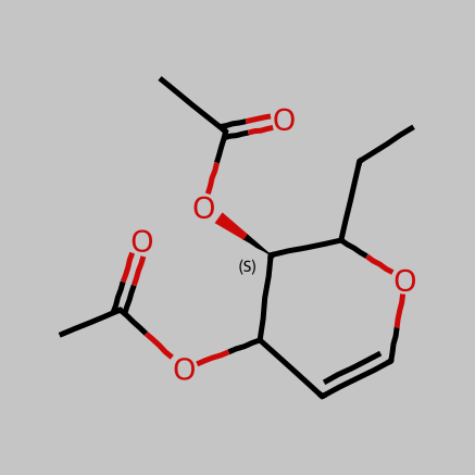 CCC1OC=CC(OC(C)=O)[C@H]1OC(C)=O